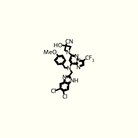 COc1ccc(CN(Cc2nc3cc(Cl)c(Cl)cc3[nH]2)c2cc(N3CC(O)(C#N)C3)nn3c(C(F)(F)F)cnc23)cc1